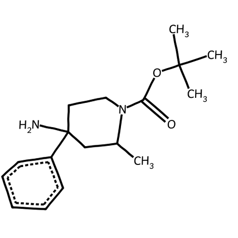 CC1CC(N)(c2ccccc2)CCN1C(=O)OC(C)(C)C